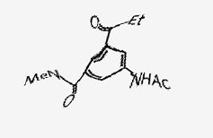 CCC(=O)c1cc(NC(C)=O)cc(C(=O)NC)c1